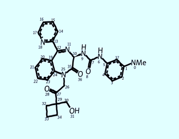 CNc1cccc(NC(=O)N[C@@H]2N=C(c3ccccn3)c3ccccc3N(CC(=O)C3(CO)CCC3)C2=O)c1